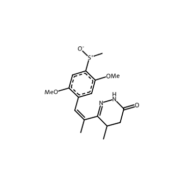 COc1cc([S+](C)[O-])c(OC)cc1C=C(C)C1=NNC(=O)CC1C